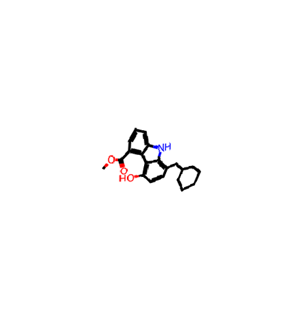 COC(=O)c1cccc2[nH]c3c(CC4CCCCC4)ccc(O)c3c12